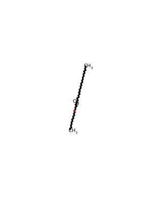 CCCCCCCCCCCCCCCCCCCCCCCCC(=O)OCCCCCCCCCCCCCCCCCC